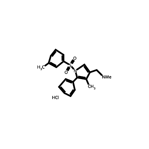 CNCc1cn(S(=O)(=O)c2cccc(C)c2)c(-c2ccccc2)c1C.Cl